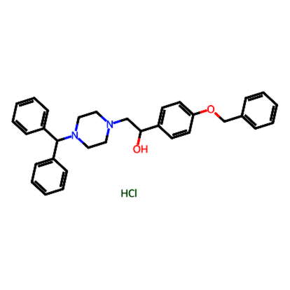 Cl.OC(CN1CCN(C(c2ccccc2)c2ccccc2)CC1)c1ccc(OCc2ccccc2)cc1